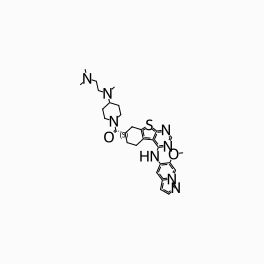 COc1cn2nccc2cc1Nc1ncnc2sc3c(c12)CC[C@H](C(=O)N1CCC(N(C)CCN(C)C)CC1)C3